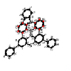 c1ccc(-c2cc3c(c(-c4ccccc4)c2)N(B2c4ccccc4-n4c5ccccc5c5cccc2c54)c2c(cc(-c4ccccc4)cc2-c2ccccc2)S3)cc1